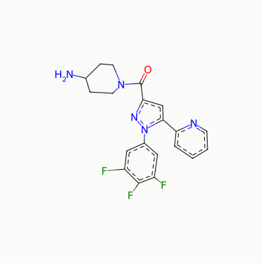 NC1CCN(C(=O)c2cc(-c3ccccn3)n(-c3cc(F)c(F)c(F)c3)n2)CC1